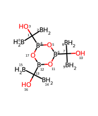 BC(B)(O)B1OB(C(B)(B)O)OB(C(B)(B)O)O1